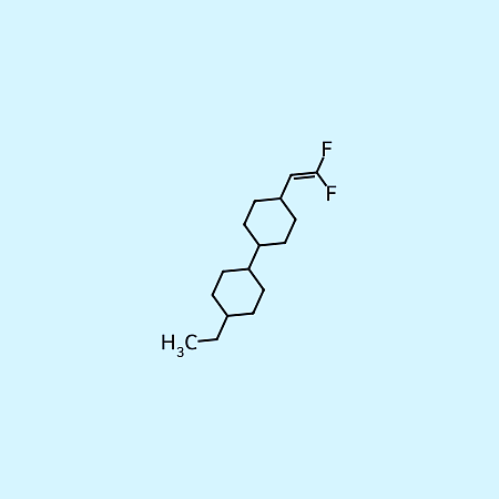 CCC1CCC(C2CCC(C=C(F)F)CC2)CC1